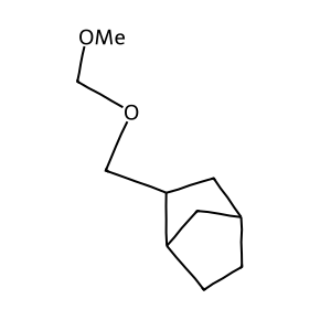 COCOCC1CC2CCC1C2